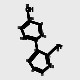 CC(C)c1ncccc1-c1ncc(O)cn1